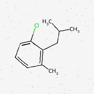 Cc1cccc(Cl)c1CC(C)C